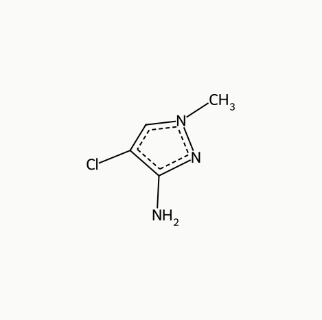 Cn1cc(Cl)c(N)n1